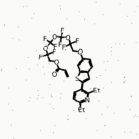 C=CC(=O)OCC(F)(F)OC(F)(F)OC(F)(F)OC(F)(F)COc1ccc2cc(-c3ccc(CC)nc3CC)sc2c1